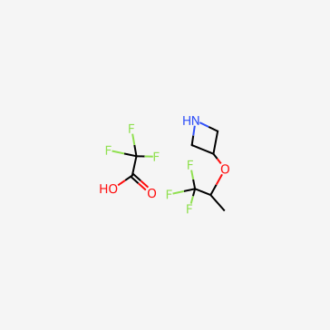 CC(OC1CNC1)C(F)(F)F.O=C(O)C(F)(F)F